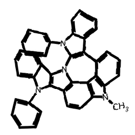 Cn1c2cccc3c2c2c1ccc1c4c(c5ccccc5n4-c4ccccc4)n(c12)c1c3c2ccccc2n1-c1ccccc1